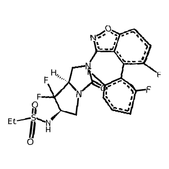 CCS(=O)(=O)N[C@@H]1CN2C(=O)N(c3noc4ccc(F)c(-c5c(F)cccc5F)c34)C[C@@H]2C1(F)F